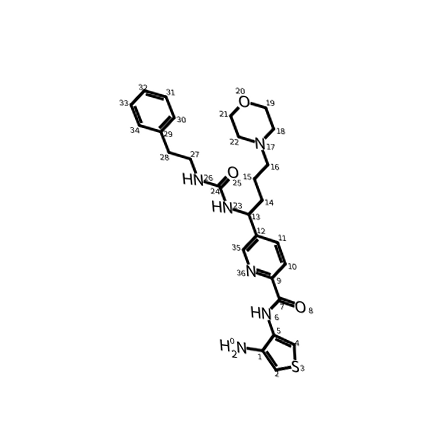 Nc1cscc1NC(=O)c1ccc(C(CCCN2CCOCC2)NC(=O)NCCc2ccccc2)cn1